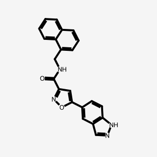 O=C(NCc1cccc2ccccc12)c1cc(-c2ccc3[nH]ncc3c2)on1